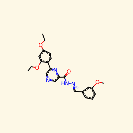 CCOc1ccc(-c2cncc(C(=O)N/N=C/c3cccc(OC)c3)n2)c(OCC)c1